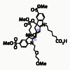 COCCOCCN1/C(=C/C=C/C2=[N+](CCCCCC(=O)O)c3ccc(S(=O)OC)cc3C2(C)CCOC)C(C)(CCCS(=O)(=O)OC)c2cc(S(=O)(=O)OC)ccc21